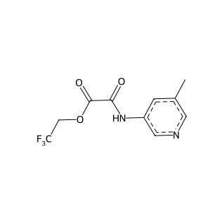 Cc1cncc(NC(=O)C(=O)OCC(F)(F)F)c1